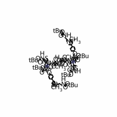 C[n+]1cc(-c2ccc(OC[C@H](O/N=C(\C(=O)N[C@@H]3C(=O)N(OS(=O)(=O)ON4C(=O)[C@@H](NC(=O)/C(=N\O[C@@H](COc5ccc(-c6cn(CCCNC(=O)OC(C)(C)C)[n+](C)c6)cc5)C(=O)OC(C)(C)C)c5csc(NC(=O)OC(C)(C)C)n5)C4(C)C)C3(C)C)c3csc(NC(=O)OC(C)(C)C)n3)C(=O)OC(C)(C)C)cc2)cn1CCCNC(=O)OC(C)(C)C